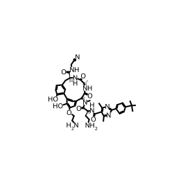 Cc1nc(-c2ccc(C(C)(C)C)cc2)nc(C)c1C(=O)N[C@@H](CCN)C(=O)N(C)[C@@H]1C(=O)N[C@@H](C)C(=O)N[C@H](C(=O)NCC#N)Cc2ccc(O)c(c2)-c2cc1cc(OCCN)c2O